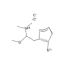 COC(CC1=[C]([Ti+2])CC=C1)[SiH](C)C.[Cl-].[Cl-]